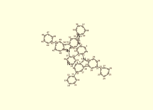 N#Cc1ccc(-n2c3ccc(-c4ccccc4)cc3c3cc(-c4ccccc4)ccc32)c(-c2ccncc2-n2c3ccc(-c4ccccc4)cc3c3cc(-c4ccccc4)ccc32)c1